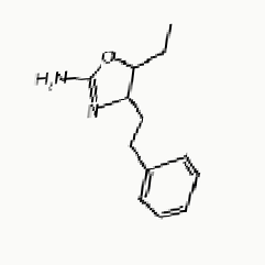 CCC1OC(N)=NC1CCc1ccccc1